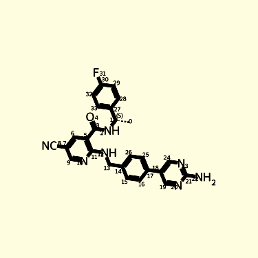 C[C@H](NC(=O)c1cc(C#N)cnc1NCc1ccc(-c2cnc(N)nc2)cc1)c1ccc(F)cc1